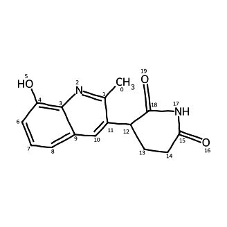 Cc1nc2c(O)cccc2cc1C1CCC(=O)NC1=O